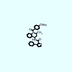 COc1ccc(C(=O)N2c3ccccc3C(NC(=O)c3sccc3-c3ccccc3)CC2C)cc1